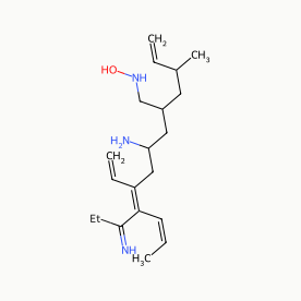 C=C/C(CC(N)CC(CNO)CC(C)C=C)=C(/C=C\C)C(=N)CC